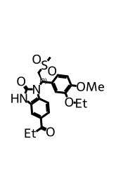 CCOc1cc([C@H](CS(C)(=O)=O)n2c(=O)[nH]c3cc(C(=O)CC)ccc32)ccc1OC